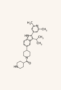 Cc1cc(-c2[nH]c3ccc(C4CCN(C(=O)C5CCNCC5)CC4)cc3c2C(C)C)cc(C)n1